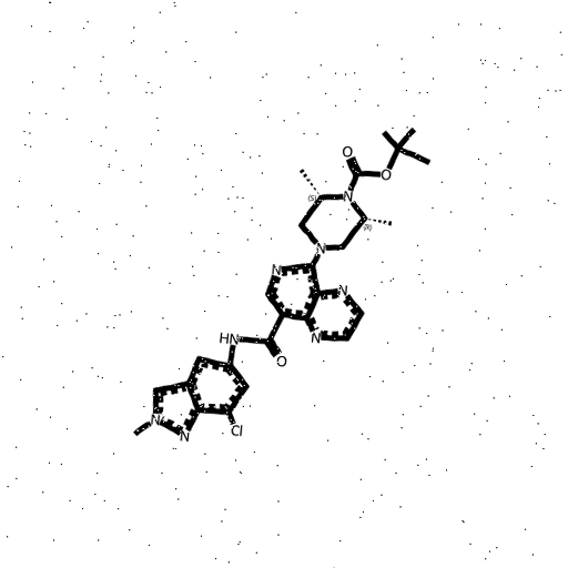 C[C@@H]1CN(c2ncc(C(=O)Nc3cc(Cl)c4nn(C)cc4c3)c3nccnc23)C[C@H](C)N1C(=O)OC(C)(C)C